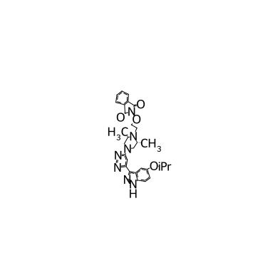 CC(C)Oc1ccc2[nH]nc(-c3cc(N4C[C@@H](C)N(CCON5C(=O)c6ccccc6C5=O)[C@@H](C)C4)ncn3)c2c1